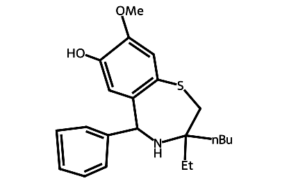 CCCCC1(CC)CSc2cc(OC)c(O)cc2C(c2ccccc2)N1